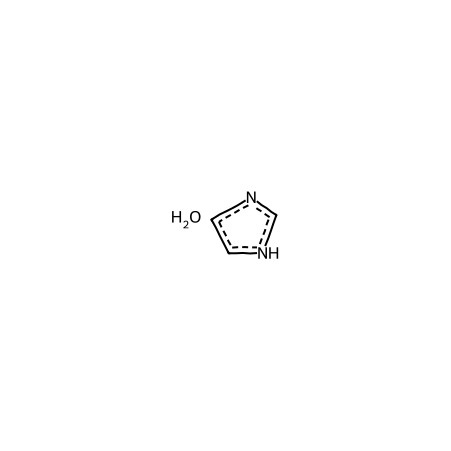 O.c1c[nH]cn1